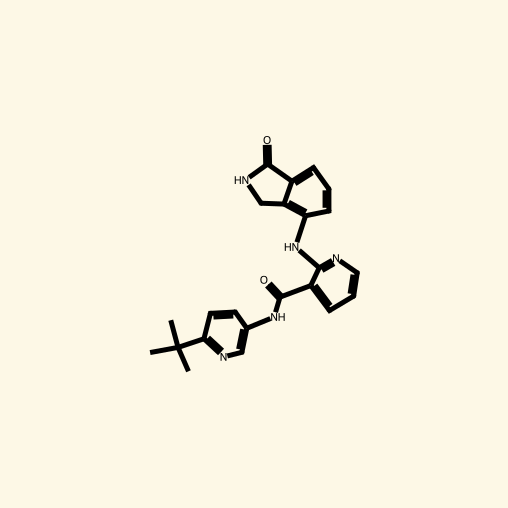 CC(C)(C)c1ccc(NC(=O)c2cccnc2Nc2cccc3c2CNC3=O)cn1